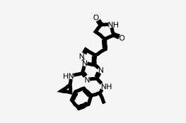 CC(Nc1nc(NC2CC2)n2ncc(/C=C3\CC(=O)NC3=O)c2n1)c1ccccc1